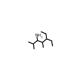 CCC(CC)C(C)C(N)C(C)C